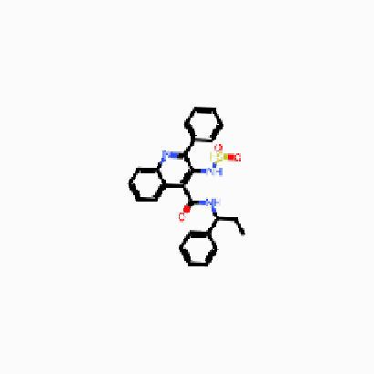 CCC(NC(=O)c1c(N[SH](=O)=O)c(-c2ccccc2)nc2ccccc12)c1ccccc1